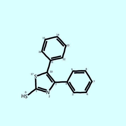 Sc1nc(-c2ccccc2)c(-c2ccccc2)s1